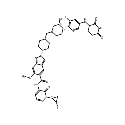 CC(C)Oc1cc2nn([C@H]3CC[C@H](CN4CC[C@@H](c5ncc(NC6CCC(=O)NC6=O)cc5F)[C@H](O)C4)CC3)cc2cc1C(=O)Nc1cccn([C@H]2C[C@H]2F)c1=O